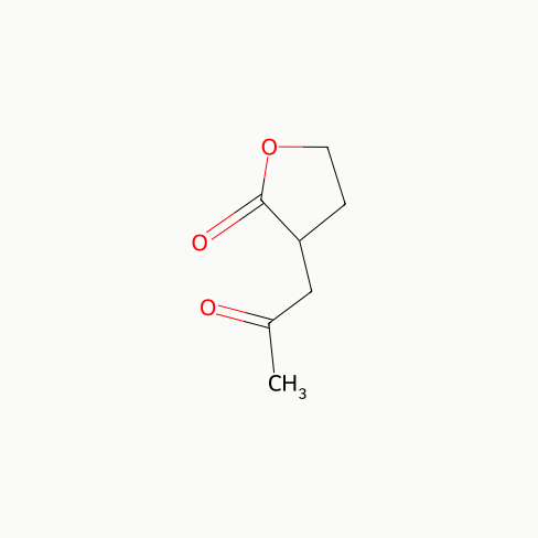 CC(=O)CC1CCOC1=O